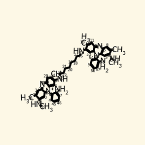 CNc1cc2c(cc1C)N=C1C=C(C)C(NCCCCCCCCNc3cc4c(cc3C)nc3cc(C)c(NC)cc3[n+]4-c3ccccc3N)=CC1N2c1ccccc1N